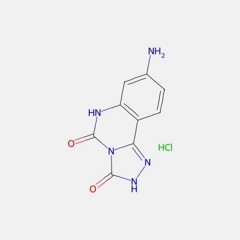 Cl.Nc1ccc2c(c1)[nH]c(=O)n1c(=O)[nH]nc21